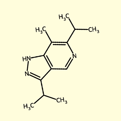 Cc1c(C(C)C)ncc2c(C(C)C)n[nH]c12